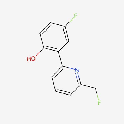 Oc1ccc(F)cc1-c1cccc(CF)n1